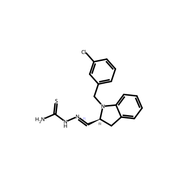 NC(=S)N/N=C/[C@@H]1Cc2ccccc2N1Cc1cccc(Cl)c1